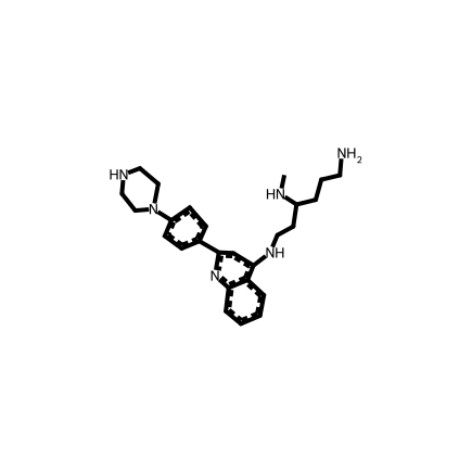 CNC(CCCN)CCNc1cc(-c2ccc(N3CCNCC3)cc2)nc2ccccc12